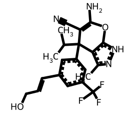 Cc1n[nH]c2c1C(c1cc(C=CCO)cc(C(F)(F)F)c1)(C(C)C)C(C#N)=C(N)O2